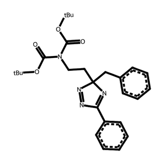 CC(C)(C)OC(=O)N(CCC1(Cc2ccccc2)N=NC(c2ccccc2)=N1)C(=O)OC(C)(C)C